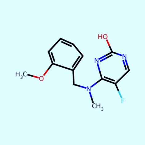 COc1ccccc1CN(C)c1nc(O)ncc1F